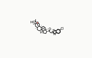 CCOC[C@]12CC[C@@](C)(O)C[C@]1(C)CC[C@H]1[C@@H]3CC[C@H](C(=O)Cn4nc5ccc(Cl)cc5n4)[C@@]3(C)CC[C@@]12C